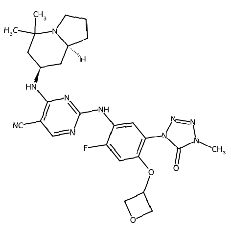 Cn1nnn(-c2cc(Nc3ncc(C#N)c(N[C@@H]4C[C@@H]5CCCN5C(C)(C)C4)n3)c(F)cc2OC2COC2)c1=O